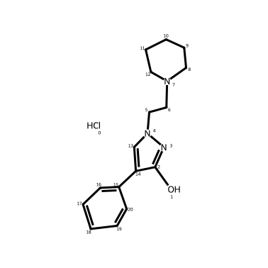 Cl.Oc1nn(CCN2CCCCC2)cc1-c1ccccc1